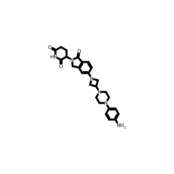 Nc1ccc(N2CCN(C3CN(c4ccc5c(c4)CN(C4CCC(=O)NC4=O)C5=O)C3)CC2)cc1